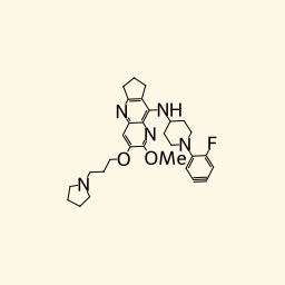 COc1nc2c(NC3CCN(c4cc#ccc4F)CC3)c3c(nc2cc1OCCCN1CCCC1)CCC3